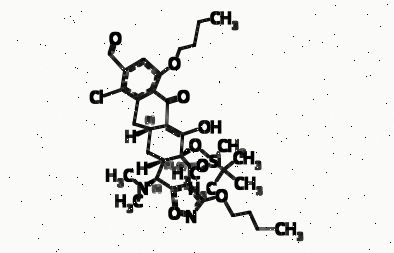 CCCCOc1cc(C=O)c(Cl)c2c1C(=O)C1=C(O)[C@]3(O[Si](C)(C)C(C)(C)C)C(=O)c4c(OCCCC)noc4[C@@H](N(C)C)[C@@H]3C[C@@H]1C2